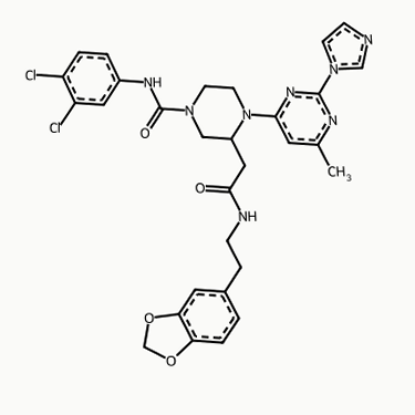 Cc1cc(N2CCN(C(=O)Nc3ccc(Cl)c(Cl)c3)CC2CC(=O)NCCc2ccc3c(c2)OCO3)nc(-n2ccnc2)n1